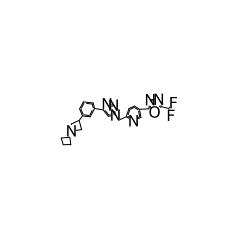 FC(F)c1nnc(-c2ccc(Cn3cc(-c4cccc(C5CN(C6CCC6)C5)c4)nn3)nc2)o1